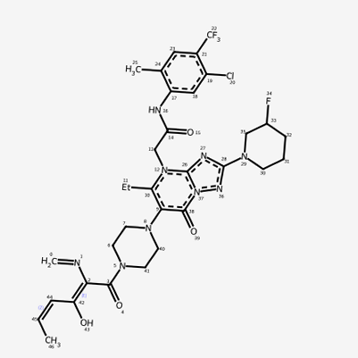 C=N/C(C(=O)N1CCN(c2c(CC)n(CC(=O)Nc3cc(Cl)c(C(F)(F)F)cc3C)c3nc(N4CCCC(F)C4)nn3c2=O)CC1)=C(O)\C=C/C